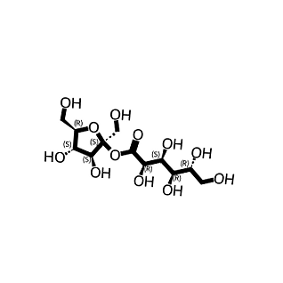 O=C(O[C@]1(CO)O[C@H](CO)[C@@H](O)[C@@H]1O)[C@H](O)[C@@H](O)[C@H](O)[C@H](O)CO